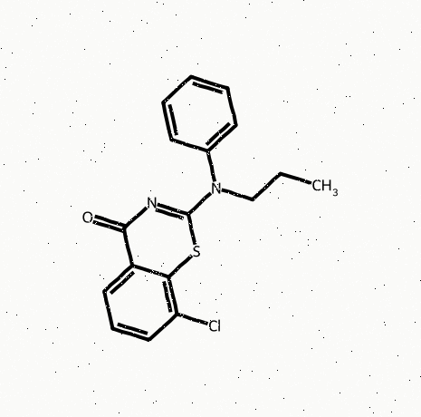 CCCN(c1ccccc1)c1nc(=O)c2cccc(Cl)c2s1